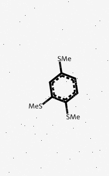 CSc1[c]cc(SC)c(SC)c1